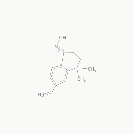 C=Cc1ccc2c(c1)C(C)(C)CC/C2=N\O